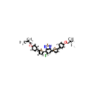 CC(C)COc1ccc(-c2ccc(-c3cc(F)c(-c4ccc(-c5ccc(OCC(C)C)cc5)s4)c4nsnc34)s2)cc1